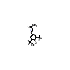 CC(C)(C)c1cc(/C=C/C(N)=O)cc(C(C)(C)C)c1OO